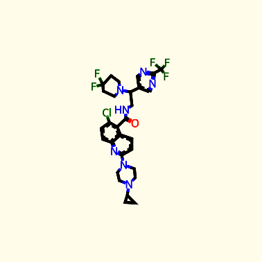 O=C(NCC(c1cnc(C(F)(F)F)nc1)N1CCC(F)(F)CC1)c1c(Cl)ccc2nc(N3CCN(C4CC4)CC3)ccc12